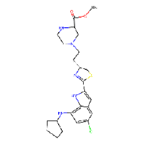 CC(C)(C)OC(=O)C1CN(CC[C@@H]2CSC(c3cc4cc(Cl)cc(NC5CCCC5)c4[nH]3)=N2)CCN1